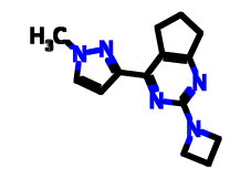 Cn1ccc(-c2nc(N3CCC3)nc3c2CCC3)n1